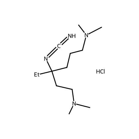 CCC(CCCN(C)C)(CCN(C)C)N=C=N.Cl